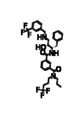 CCCN(CCCC(F)(F)F)C(=O)c1cccc(C(=O)N[C@@H](Cc2ccccc2)[C@H](O)CNCc2cccc(C(F)(F)F)c2)c1